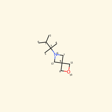 CC(C)C(C)(C)N1CC2(COC2)C1